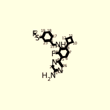 Nc1cnc(-c2ccc(C3CCC3)c(NCc3cccc(SF)c3)c2F)cn1